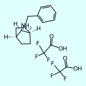 N[C@@H]1[C@H]2CC[C@@H]1N(Cc1ccccc1)C2.O=C(O)C(F)(F)F.O=C(O)C(F)(F)F